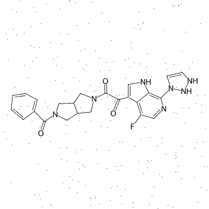 O=C(C(=O)N1CC2CN(C(=O)c3ccccc3)CC2C1)c1c[nH]c2c(N3C=CNN3)ncc(F)c12